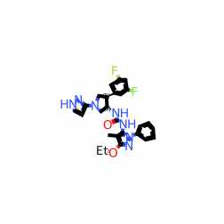 CCOc1nn(-c2ccccc2)c(NC(=O)N[C@@H]2CN(c3cc[nH]n3)C[C@H]2c2cc(F)cc(F)c2)c1C